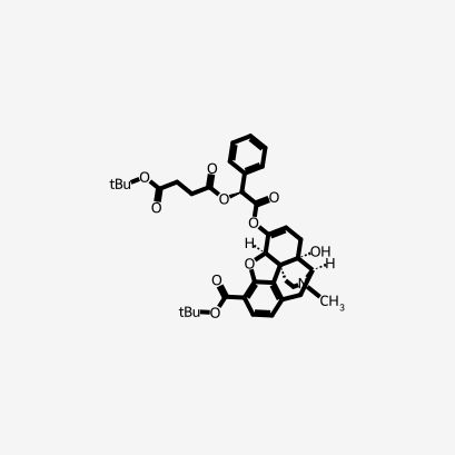 CN1CC[C@]23c4c5ccc(C(=O)OC(C)(C)C)c4O[C@H]2C(OC(=O)[C@@H](OC(=O)CCC(=O)OC(C)(C)C)c2ccccc2)=CC[C@@]3(O)[C@H]1C5